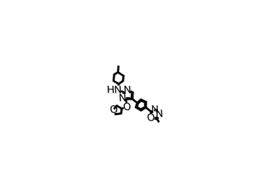 Cc1nnc(-c2ccc(-c3cnc(NC4CCC(C)CC4)nc3OC3CCOC3)cc2)o1